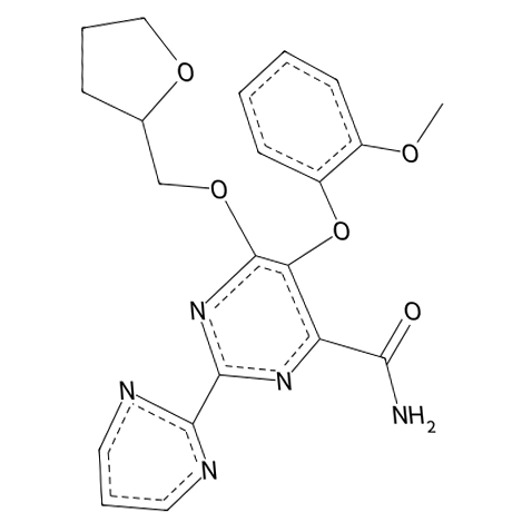 COc1ccccc1Oc1c(OCC2CCCO2)nc(-c2ncccn2)nc1C(N)=O